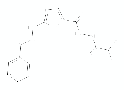 O=C(NNC(=O)C(F)F)c1cnc(NCCc2ccccc2)s1